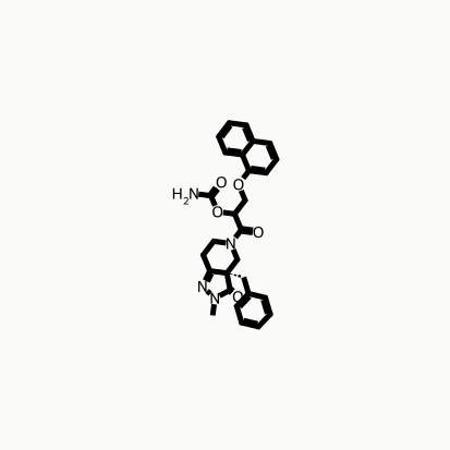 CN1N=C2CCN(C(=O)C(COc3cccc4ccccc34)OC(N)=O)C[C@@]2(Cc2ccccc2)C1=O